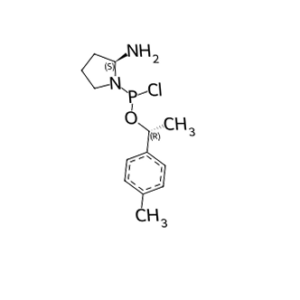 Cc1ccc([C@@H](C)OP(Cl)N2CCC[C@H]2N)cc1